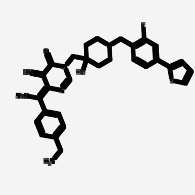 CN/C(=C1/N=CN(CC2(O)CCN(Cc3ccc(-c4cccs4)cc3F)CC2)C(=O)C1=N)c1ccc(CN)cc1